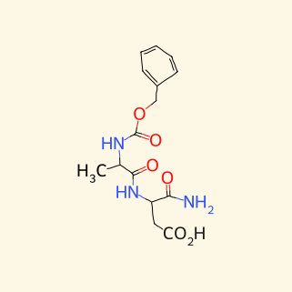 CC(NC(=O)OCc1ccccc1)C(=O)NC(CC(=O)O)C(N)=O